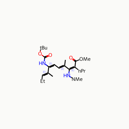 CC/C=C(C)/C(=C\C=C(C)\C(NNC)=C(\CCC)C(=O)OC)NC(=O)OC(C)(C)C